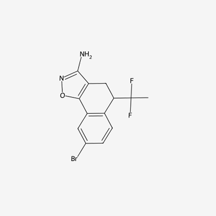 CC(F)(F)C1Cc2c(N)noc2-c2cc(Br)ccc21